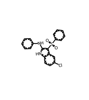 O=S(=O)(c1ccccc1)c1c(Nc2ccccc2)[nH]c2ccc(Cl)cc12